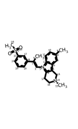 CC(=Cn1c2c(c3cc(C)ccc31)CN(C)CC2)c1cccc(S(C)(=O)=O)c1